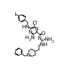 N/C(=N\C(=O)c1nc(Cl)c(NCc2ccc(I)cc2)nc1N)NCCC1CCN(Cc2ccccc2)CC1